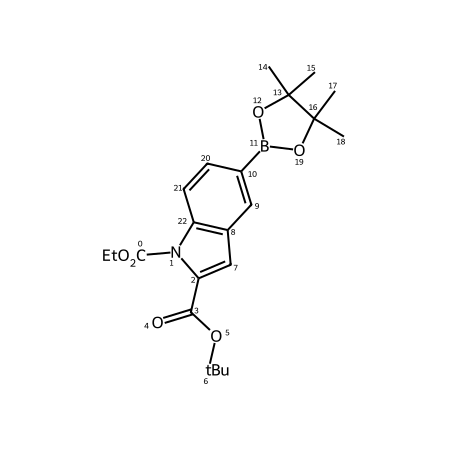 CCOC(=O)n1c(C(=O)OC(C)(C)C)cc2cc(B3OC(C)(C)C(C)(C)O3)ccc21